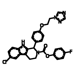 O=C(Oc1ccc(F)cc1)N1CCc2c([nH]c3ccc(Cl)cc23)C1c1ccc(OCCn2cncn2)cc1